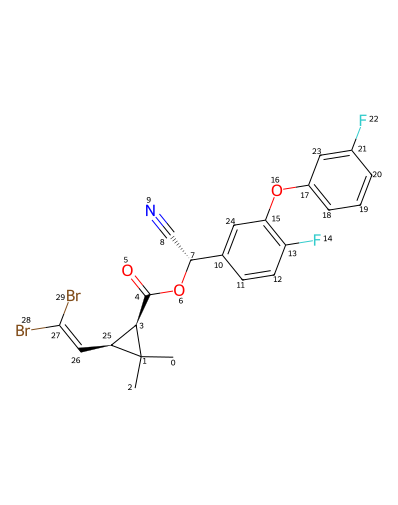 CC1(C)[C@H](C(=O)O[C@H](C#N)c2ccc(F)c(Oc3cccc(F)c3)c2)[C@@H]1C=C(Br)Br